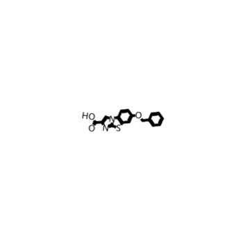 O=C(O)c1cn2c(n1)sc1cc(OCc3ccccc3)ccc12